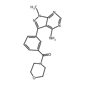 Cn1nc(-c2cccc(C(=O)N3CCOCC3)c2)c2c(N)ncnc21